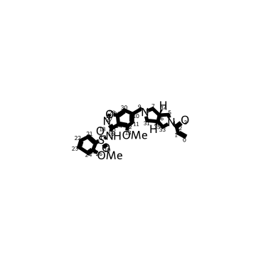 C=CC(=O)N1C[C@H]2CN(Cc3cc(OC)c4c(NS(=O)(=O)c5ccccc5OC)noc4c3)C[C@H]2C1